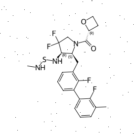 CNSN[C@@H]1[C@H](Cc2cccc(-c3cccc(C)c3F)c2F)N(C(=O)[C@H]2CCO2)CC1(F)F